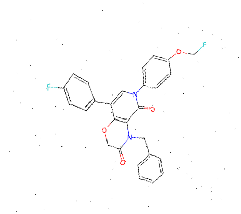 O=C1COc2c(-c3ccc(F)cc3)cn(-c3ccc(OCF)cc3)c(=O)c2N1Cc1ccccc1